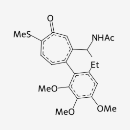 CCc1cc(OC)c(OC)c(OC)c1-c1ccc(SC)c(=O)cc1C(C)NC(C)=O